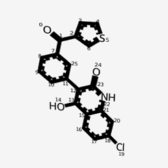 O=C(c1ccsc1)c1cccc(-c2c(O)c3ccc(Cl)cc3[nH]c2=O)c1